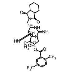 CC1[C@@H](OC(=O)c2cc(C(F)(F)F)ccc2C(F)(F)F)CN2C(=N)N[C@@H](CN3C(=O)C4CCCCC4C3=O)C3NC(=N)N(O)C312